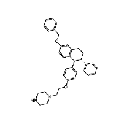 c1ccc(COc2ccc3c(c2)CC[C@H](c2ccccc2)C3c2ccc(OCCN3CCNCC3)cc2)cc1